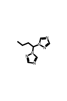 CCCC(n1cncn1)n1cncn1